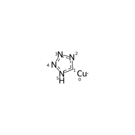 [Cu].c1nnn[nH]1